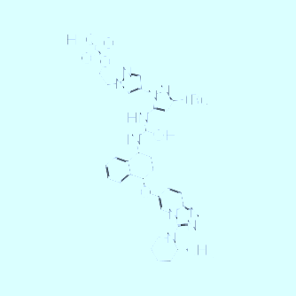 C[C@@H]1CCCCN1c1nnc2ccc(O[C@@H]3CC[C@H](NC(O)Nc4cc(C(C)(C)C)nn4-c4cnn(CCOS(C)(=O)=O)c4)c4ccccc43)cn12